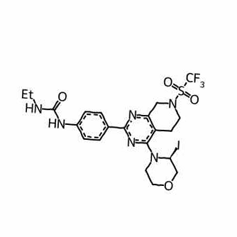 CCNC(=O)Nc1ccc(-c2nc3c(c(N4CCOC[C@@H]4I)n2)CCN(S(=O)(=O)C(F)(F)F)C3)cc1